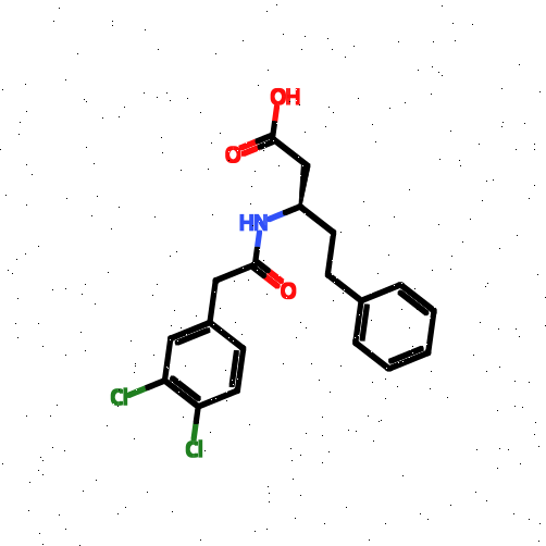 O=C(O)C[C@@H](CCc1ccccc1)NC(=O)Cc1ccc(Cl)c(Cl)c1